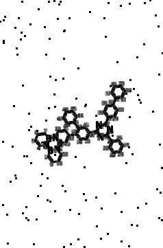 C1=CB2N3C=CC=CB3N3C=CC(c4ccc(-c5nc(-c6ccccc6)nc(-c6ccc(-c7ccccc7)cc6)n5)cc4-c4ccccc4)=CB3N2C=C1